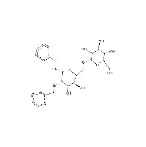 OCC1O[C@H](OCC2O[C@@H](NCc3ccccc3)[C@@H](NCc3ccccc3)C(O)[C@@H]2O)C(O)[C@@H](O)[C@@H]1O